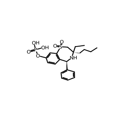 CCCC[C@@]1(CC)CS(=O)(=O)c2cc(OP(=O)(O)O)ccc2[C@H](c2ccccc2)N1